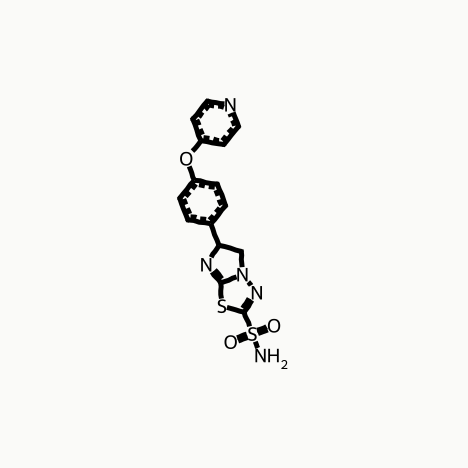 NS(=O)(=O)C1=NN2CC(c3ccc(Oc4ccncc4)cc3)N=C2S1